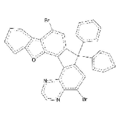 Brc1cc2c(c3nccnc13)-c1c(cc(Br)c3c1oc1ccccc13)C2(c1ccccc1)c1ccccc1